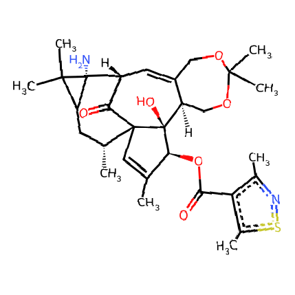 CC1=CC23C(=O)[C@@H](C=C4COC(C)(C)OC[C@H]4[C@]2(O)[C@H]1OC(=O)c1c(C)nsc1C)[C@@]1(N)C(C[C@H]3C)C1(C)C